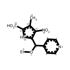 CCOC(c1ccncc1)c1[nH]c(C(=O)O)c(C)c1[N+](=O)[O-]